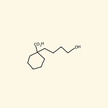 O=C(O)C1(CCCCO)CC[CH]CC1